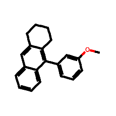 COc1cccc(-c2c3c(cc4ccccc24)CCCC3)c1